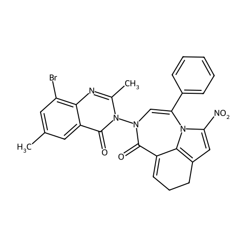 Cc1cc(Br)c2nc(C)n(N3C=C(c4ccccc4)n4c([N+](=O)[O-])cc5c4C(=CCC5)C3=O)c(=O)c2c1